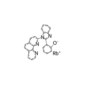 [O-]c1ccccc1-c1nc2ccccc2n1-c1ccc2ccc3cccnc3c2n1.[Rb+]